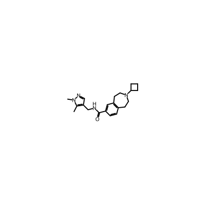 Cc1c(CNC(=O)c2ccc3c(c2)CCN(C2CCC2)CC3)cnn1C